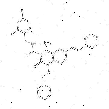 Nc1c(C(=O)NCc2ccc(F)cc2F)c(=O)n(OCc2ccccc2)c2ncc(C=Cc3ccccc3)cc12